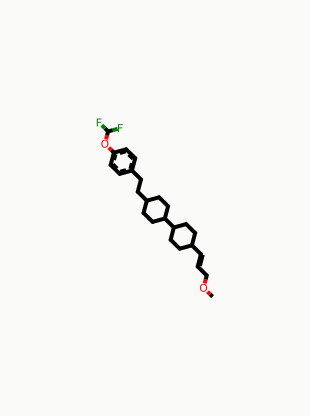 COC/C=C/C1CCC(C2CCC(CCc3ccc(OC(F)F)cc3)CC2)CC1